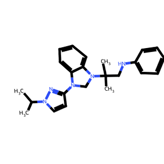 CC(C)n1ccc(N2CN(C(C)(C)CNc3ccccc3)c3ccccc32)n1